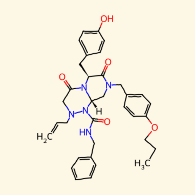 C=CCN1CC(=O)N2[C@@H](Cc3ccc(O)cc3)C(=O)N(Cc3ccc(OCCC)cc3)C[C@@H]2N1C(=O)NCc1ccccc1